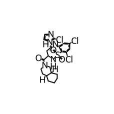 Nc1cc(Cl)cc(Cl)c1S(=O)(=O)NC(CCn1ccnc1Cl)C(=O)N1CC[C@@H]2CCCC[C@H]2C1